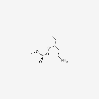 CCC(CCN)OO[PH](=O)OC